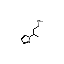 COCCC(C)n1cccn1